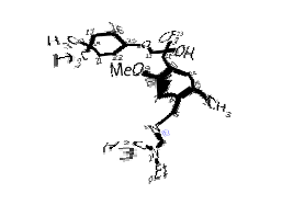 CCN(C)/C=N/Cc1cc(OC)c(C(O)(COC2CCC(C)(C)CC2)C(F)(F)F)cc1C